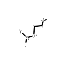 CC(=O)CCOP(F)F